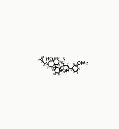 COc1cccc(C=CC(=O)N(C)[C@@H]2CC[C@]3(O)CN(CC4CC4)CC[C@@]3(c3cccc(O)c3)C2)c1